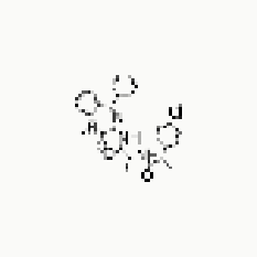 CC(C(=O)N[C@@H](C)C(=O)N[C@H]1N=C(c2ccccc2)c2ccccc2N(C)C1=O)c1ccc(Cl)cc1